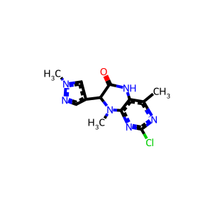 Cc1nc(Cl)nc2c1NC(=O)C(c1cnn(C)c1)N2C